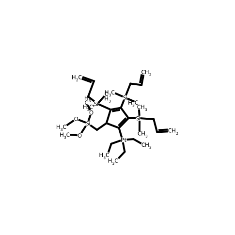 C=CC[Si](C)(C)C1=C([Si](C)(C)CC=C)C(C[Si](OC)(OC)OC)[C]([Pt]([CH2]C)([CH2]C)[CH2]C)=C1[Si](C)(C)CC=C